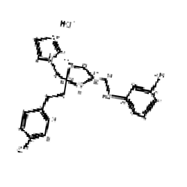 Cl.Clc1ccc(CC[C@@]2(Cn3ccnc3)OC[C@@H](CSc3cccc(Br)c3)O2)cc1